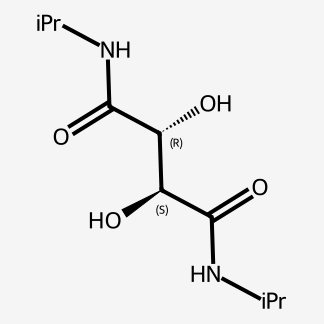 CC(C)NC(=O)[C@@H](O)[C@@H](O)C(=O)NC(C)C